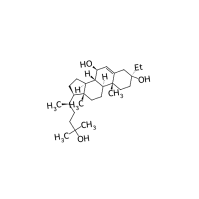 CC[C@]1(O)CC[C@@]2(C)C(=C[C@H](O)[C@H]3[C@@H]4CC[C@H]([C@H](C)CCC(C)(C)O)[C@@]4(C)CC[C@@H]32)C1